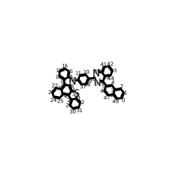 c1ccc2cc(-c3nc(-c4ccc(-n5c6ccccc6c6c7ccccc7c7c8ccccc8sc7c65)cc4)nc4ccccc34)ccc2c1